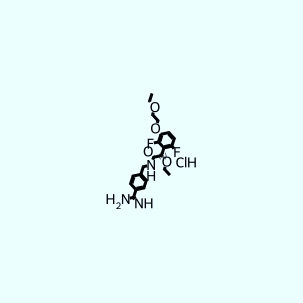 CCOCCOc1ccc(F)c([C@H](OCC)C(=O)NCc2ccc(C(=N)N)cc2)c1F.Cl